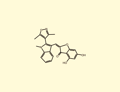 Cc1noc(C)c1-c1c(C=C2Oc3cc(O)cc(O)c3C2=O)c2ccccc2n1C